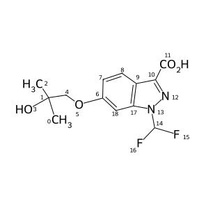 CC(C)(O)COc1ccc2c(C(=O)O)nn(C(F)F)c2c1